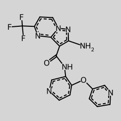 Nc1nn2ccc(C(F)(F)F)nc2c1C(=O)Nc1cnccc1Oc1cccnc1